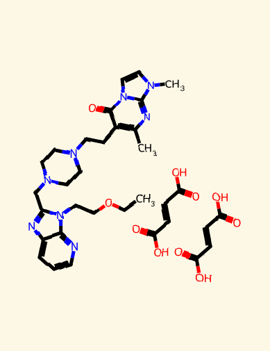 CCOCCn1c(CN2CCN(CCc3c(C)nc4n(C)ccn4c3=O)CC2)nc2cccnc21.O=C(O)C=CC(=O)O.O=C(O)C=CC(=O)O